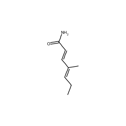 CC/C=C(C)/C=C/C(N)=O